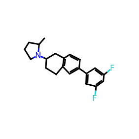 CC1CCCN1C1CCc2cc(-c3cc(F)cc(F)c3)ccc2C1